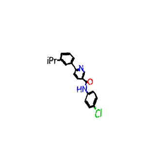 CC(C)c1cccc(-c2ccc(C(=O)Nc3ccc(Cl)cc3)cn2)c1